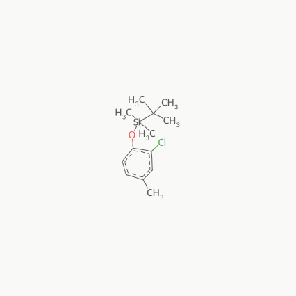 Cc1ccc(O[Si](C)(C)C(C)(C)C)c(Cl)c1